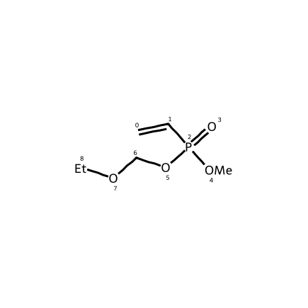 C=CP(=O)(OC)OCOCC